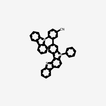 N#Cc1ccc(-n2c3ccccc3c3ccccc32)c(-c2ccc3c4c5sc6ccccc6c5ccc4n(-c4ccccc4)c3c2)c1